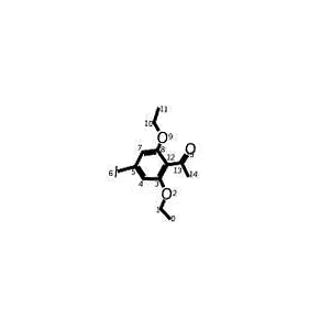 CCOc1cc(I)cc(OCC)c1C(C)=O